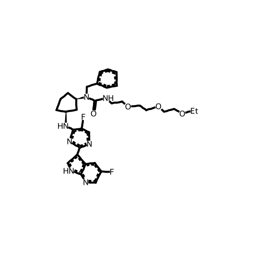 CCOCCOCCOCCNC(=O)N(Cc1ccccc1)[C@@H]1CCC[C@H](Nc2nc(-c3c[nH]c4ncc(F)cc34)ncc2F)C1